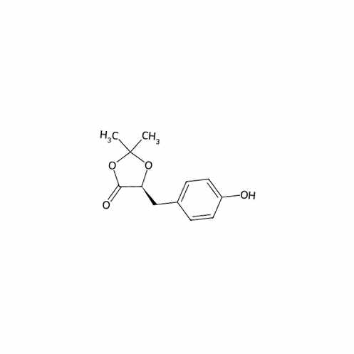 CC1(C)OC(=O)[C@H](Cc2ccc(O)cc2)O1